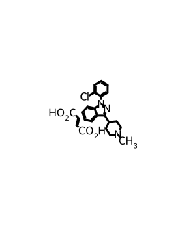 CN1CCC(c2nn(-c3ccccc3Cl)c3ccccc23)CC1.O=C(O)/C=C/C(=O)O